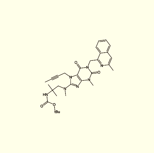 CC#CCn1c(N(C)CC(C)(C)NC(=O)OC(C)(C)C)nc2c1c(=O)n(Cc1nc(C)cc3ccccc13)c(=O)n2C